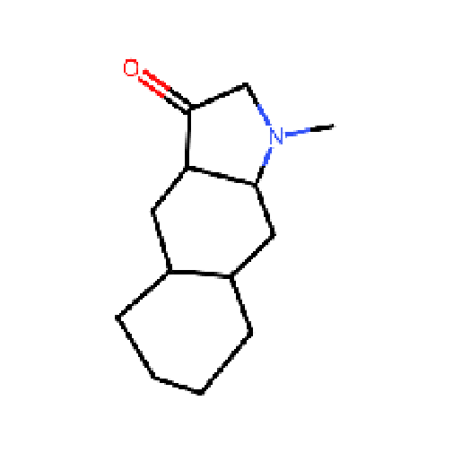 CN1CC(=O)C2CC3CCCCC3CC21